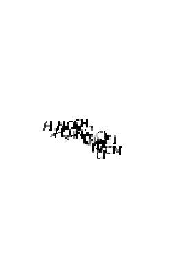 CCc1c(C#N)c(Cl)nc(N2CCC(NC(=O)C(C)(C)OC(N)=O)CC2)c1C#N